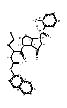 CCCC(NC(=O)Oc1ccc2ccccc2n1)C(=O)N1CCC2C1C(=O)CN2S(=O)(=O)c1cccc[n+]1[O-]